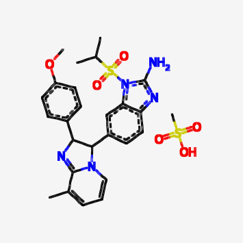 COc1ccc(C2N=C3C(C)=CC=CN3C2c2ccc3nc(N)n(S(=O)(=O)C(C)C)c3c2)cc1.CS(=O)(=O)O